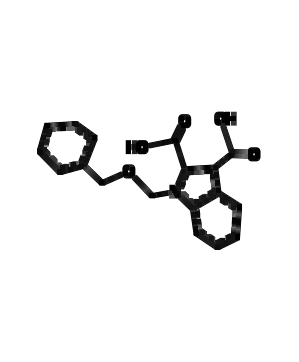 O=C(O)c1c(C(=O)O)n(COCc2ccccc2)c2ccccc12